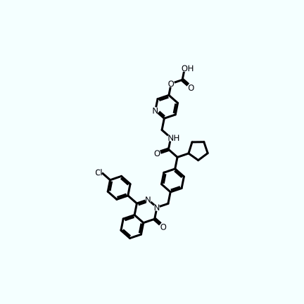 O=C(O)Oc1ccc(CNC(=O)C(c2ccc(Cn3nc(-c4ccc(Cl)cc4)c4ccccc4c3=O)cc2)C2CCCC2)nc1